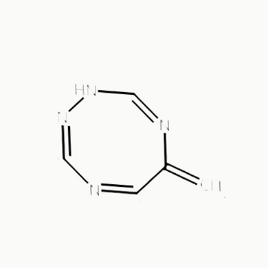 C=C1/C=N\C=N/N/C=N\1